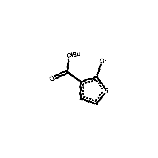 CC(C)COC(=O)c1ccsc1[O]